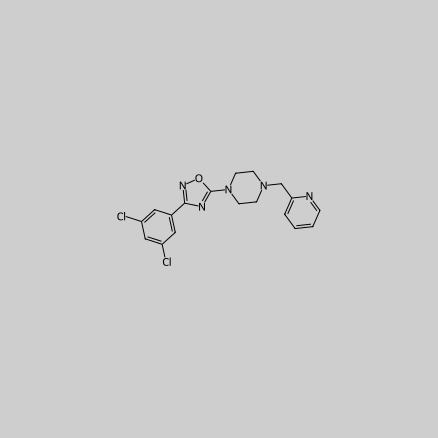 Clc1cc(Cl)cc(-c2noc(N3CCN(Cc4ccccn4)CC3)n2)c1